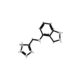 [c]1cc(OCc2nnn[nH]2)c2c(c1)OOC2